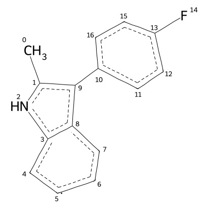 Cc1[nH]c2c[c]ccc2c1-c1ccc(F)cc1